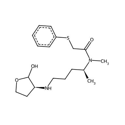 C[C@@H](CCCN[C@H]1CCOC1O)N(C)C(=O)CSc1ccccc1